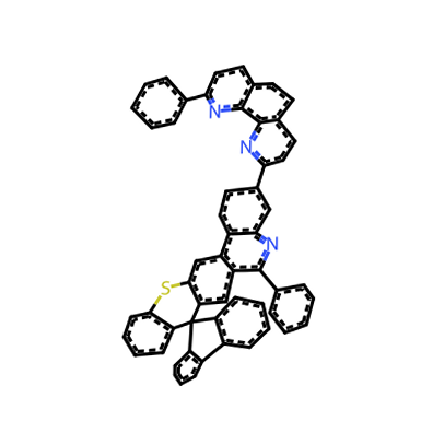 c1ccc(-c2ccc3ccc4ccc(-c5ccc6c(c5)nc(-c5ccccc5)c5cc7c(cc56)Sc5ccccc5C75c6ccccc6-c6ccccc65)nc4c3n2)cc1